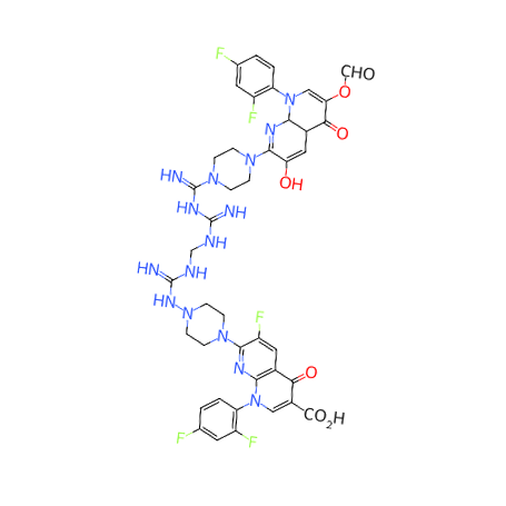 N=C(NCNC(=N)NN1CCN(c2nc3c(cc2F)c(=O)c(C(=O)O)cn3-c2ccc(F)cc2F)CC1)NC(=N)N1CCN(C2=NC3C(C=C2O)C(=O)C(OC=O)=CN3c2ccc(F)cc2F)CC1